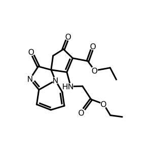 CCOC(=O)CNC1=C(C(=O)OCC)C(=O)CC12C(=O)N=C1C=CC=CN12